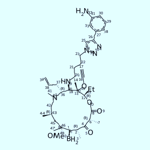 B[C@@H]1[C@@H](C)C(=O)[C@@H](C)C(=O)O[C@H](CC)[C@@](C)(OC#C)[C@H](NCCCCn2cc(-c3cccc(N)c3)nn2)[C@@H](CC=C)N(C)C[C@H](C)C[C@@]1(C)OC